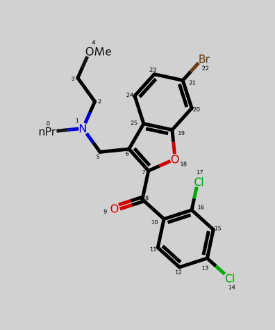 CCCN(CCOC)Cc1c(C(=O)c2ccc(Cl)cc2Cl)oc2cc(Br)ccc12